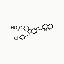 O=C(O)C1CCc2c(n(Cc3ccc(Cl)cc3)c3ccc(OCc4ccc5ccccc5n4)cc23)C1